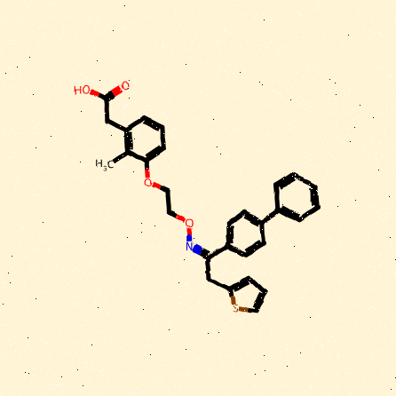 Cc1c(CC(=O)O)cccc1OCCON=C(Cc1cccs1)c1ccc(-c2ccccc2)cc1